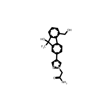 NC(=O)Cn1cc(-c2ccc3c(c2)C(O)(C(F)(F)F)c2cccc(CO)c2-3)cn1